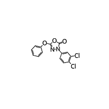 O=c1oc(Oc2ccccc2)nn1-c1ccc(Cl)c(Cl)c1